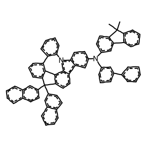 CC1(C)c2ccccc2-c2cc(N(c3cccc(-c4ccccc4)c3)c3ccc4c(c3)c3ccc5c6c3n4-c3ccccc3-c3cccc(c3-6)C5(c3ccc4ccccc4c3)c3ccc4ccccc4c3)ccc21